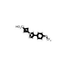 O=C(O)C12CC(n3cc(-c4ccc(OC(F)(F)F)cc4)cn3)(C1)C2